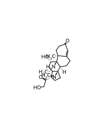 C=N[C@@]12CC[C@H](C(=O)CO)[C@@]1(C)C[C@H](O)[C@@]1(N)[C@H]2CCC2=CC(=O)CC[C@@]21C